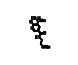 COCCNC(=O)c1cnc(OC(=O)O)c(OC)c1